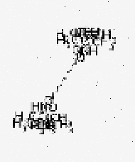 CC(C)(C)c1cc(NC(=O)OCCCCCCCCCCCCOC(=O)Nc2cc(C(C)(C)C)c(O)c(C(C)(C)C)c2)cc(C(C)(C)C)c1O